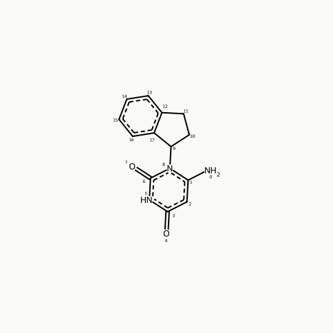 Nc1cc(=O)[nH]c(=O)n1C1CCc2ccccc21